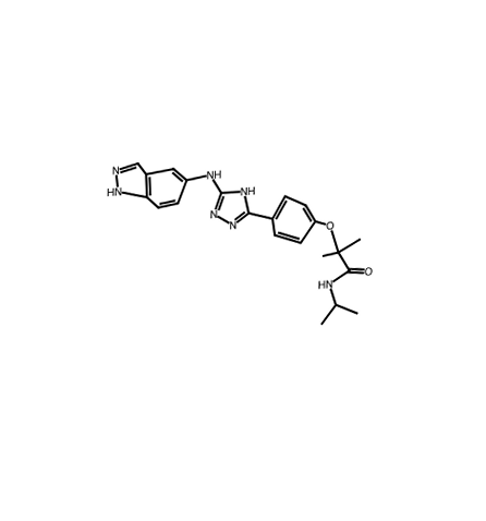 CC(C)NC(=O)C(C)(C)Oc1ccc(-c2nnc(Nc3ccc4[nH]ncc4c3)[nH]2)cc1